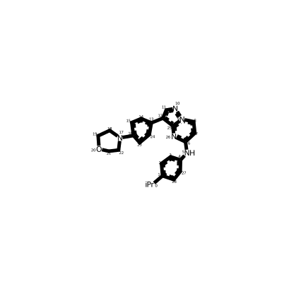 CC(C)c1ccc(Nc2ccn3ncc(-c4ccc(N5CCOCC5)cc4)c3n2)cc1